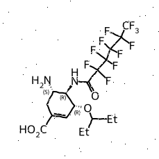 CCC(CC)O[C@@H]1C=C(C(=O)O)C[C@H](N)[C@H]1NC(=O)C(F)(F)C(F)(F)C(F)(F)C(F)(F)C(F)(F)F